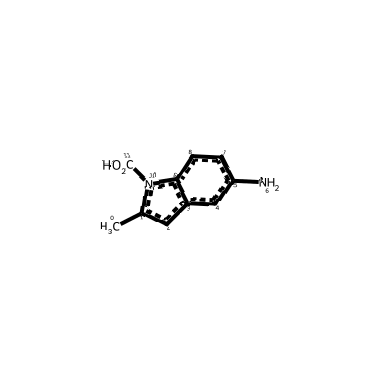 Cc1cc2cc(N)ccc2n1C(=O)O